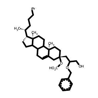 CC(C)CCC[C@@H](C)[C@H]1CCC2C3CC=C4C[C@@](CC(CO)OCc5ccccc5)(OC(=O)O)CC[C@]4(C)C3CC[C@@]21C